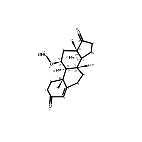 C[C@]12CCC(=O)C=C1CC[C@@H]1[C@@H]2[C@@H](OC=O)C[C@]2(C)C(=O)CC[C@@H]12